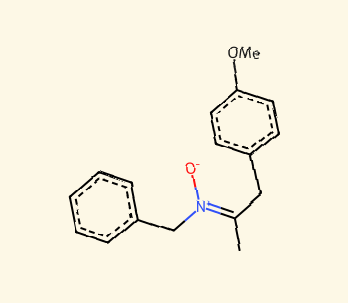 COc1ccc(CC(C)=[N+]([O-])Cc2ccccc2)cc1